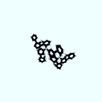 c1ccc(-c2cccc3c2sc2cccc(N(c4cccc(-c5ccccc5N(c5cccc6c5sc5ccccc56)c5cccc6sc7ccccc7c56)c4)c4cccc5c4sc4ccccc45)c23)cc1